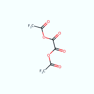 O=C(OC(=O)C(F)(F)F)C(=O)OC(=O)C(F)(F)F